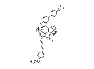 COc1ccc(C=CC=Cc2sc(C)c(C3=C(c4c(C)sc5ccc(-c6ccc(OC)cc6)cc45)C(F)(F)C(F)(F)C3(F)F)c2C)cc1